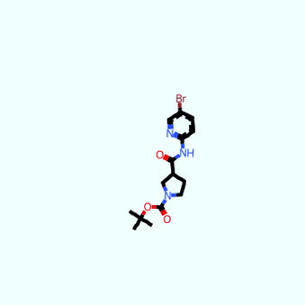 CC(C)(C)OC(=O)N1CCC(C(=O)Nc2ccc(Br)cn2)C1